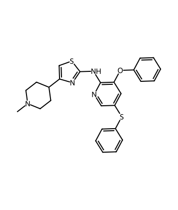 CN1CCC(c2csc(Nc3ncc(Sc4ccccc4)cc3Oc3ccccc3)n2)CC1